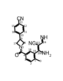 Cc1ccc(C(=O)N2CC(c3ccc(C#N)cc3)C2)cc1/C(N)=C(\C#N)C=N